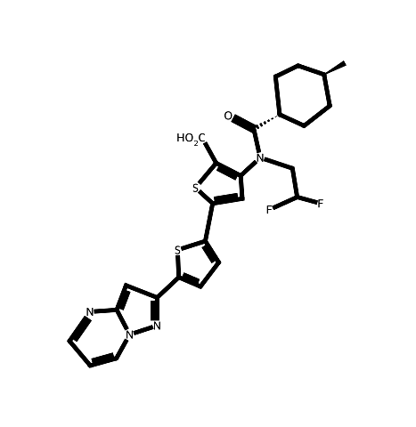 C[C@H]1CC[C@H](C(=O)N(CC(F)F)c2cc(-c3ccc(-c4cc5ncccn5n4)s3)sc2C(=O)O)CC1